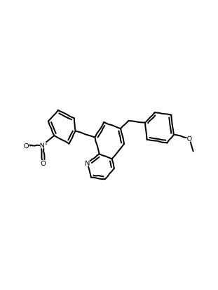 COc1ccc(Cc2cc(-c3cccc([N+](=O)[O-])c3)c3ncccc3c2)cc1